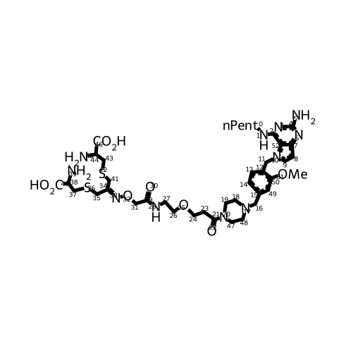 CCCCCNc1nc(N)nc2ccn(Cc3ccc(CN4CCN(C(=O)CCOCCNC(=O)CON=C(CSCC(N)C(=O)O)CSCC(N)C(=O)O)CC4)cc3OC)c12